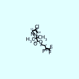 CC(C)(C(=O)OCCC(F)=C(F)F)n1cc(Cl)cn1